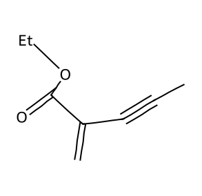 C=C(C#CC)C(=O)OCC